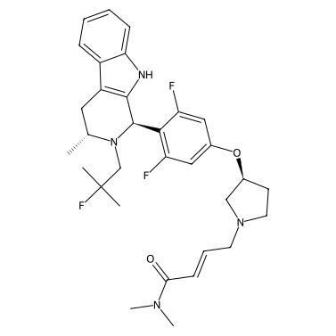 C[C@@H]1Cc2c([nH]c3ccccc23)[C@@H](c2c(F)cc(O[C@H]3CCN(C/C=C/C(=O)N(C)C)C3)cc2F)N1CC(C)(C)F